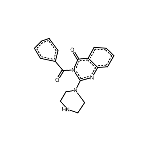 O=C(c1ccccc1)n1c(N2CCNCC2)nc2ccccc2c1=O